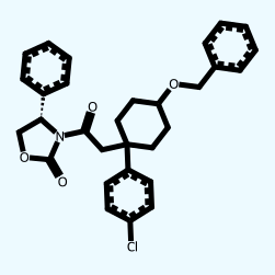 O=C(CC1(c2ccc(Cl)cc2)CCC(OCc2ccccc2)CC1)N1C(=O)OC[C@@H]1c1ccccc1